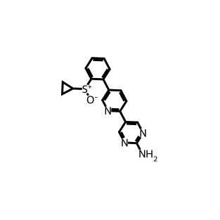 Nc1ncc(-c2ccc(-c3ccccc3[S+]([O-])C3CC3)cn2)cn1